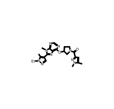 CCn1ncc(-c2nc3c(OC4CCN(C(=O)c5cc(C)n(C)n5)C4)ncnc3n2C)c1C